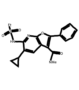 CCS(=O)(=O)Nc1nc2oc(-c3ccccc3)c(C(=O)NC)c2cc1C1CC1